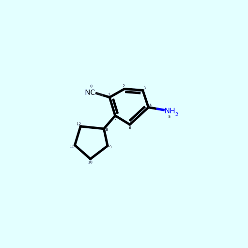 N#Cc1ccc(N)cc1C1CCCC1